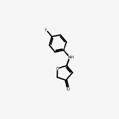 O=C1C=C(Nc2ccc(F)cc2)OC1